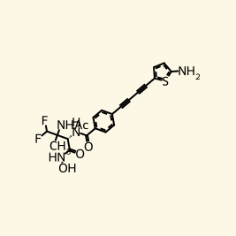 CC(=O)NC(C)(C(F)F)[C@H](NC(=O)c1ccc(C#CC#Cc2ccc(N)s2)cc1)C(=O)NO